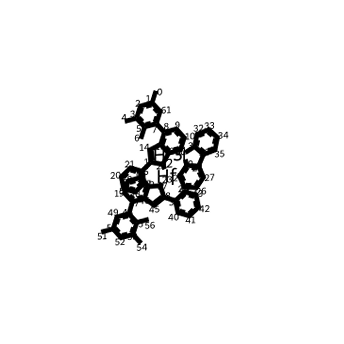 Cc1cc(C)c(C)c(-c2cccc3c2C=C(c2ccccc2)[CH]3[Hf]([c]2cccc3c2[SiH2]c2ccccc2-3)[CH]2C(c3ccccc3)=Cc3c(-c4cc(C)cc(C)c4C)cccc32)c1